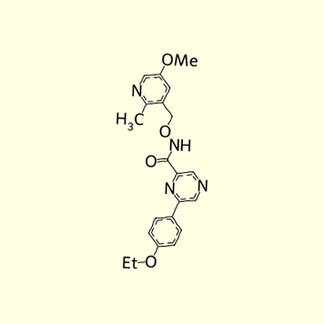 CCOc1ccc(-c2cncc(C(=O)NOCc3cc(OC)cnc3C)n2)cc1